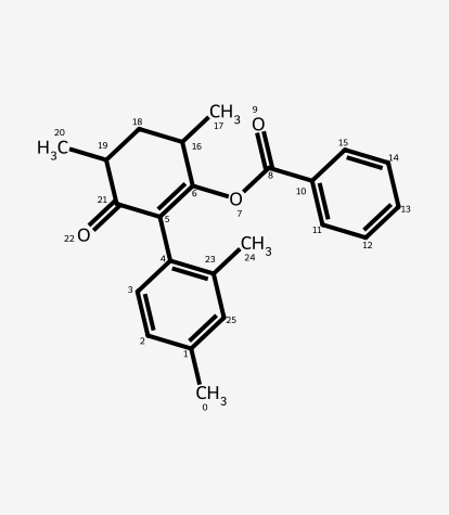 Cc1ccc(C2=C(OC(=O)c3ccccc3)C(C)CC(C)C2=O)c(C)c1